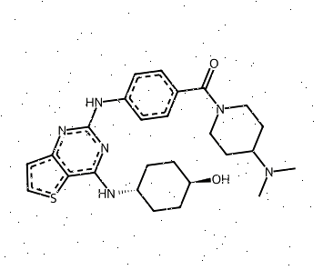 CN(C)C1CCN(C(=O)c2ccc(Nc3nc(N[C@H]4CC[C@H](O)CC4)c4sccc4n3)cc2)CC1